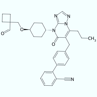 CCCc1c(Cc2ccc(-c3ccccc3C#N)cc2)c(=O)n([C@H]2CC[C@H](OCC3(C=O)CCC3)CC2)c2ncnn12